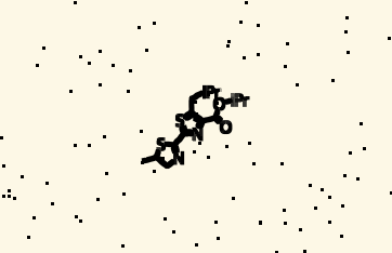 CC(C)Cc1sc(C2=NCC(C)S2)nc1C(=O)OC(C)C